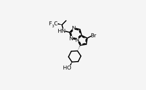 C[C@@H](Nc1ncc2c(Br)cc([C@H]3CC[C@H](O)CC3)n2n1)C(F)(F)F